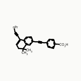 CCCC#CC1=CCC(C)(C)c2cc(C#Cc3ccc(C(=O)O)cc3)ccc21